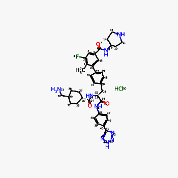 Cc1c(F)cc(C(=O)NC2CCNCC2)cc1-c1ccc(C[C@H](NC(=O)[C@H]2CC[C@H](CN)CC2)C(=O)Nc2ccc(-c3nn[nH]n3)cc2)cc1.Cl